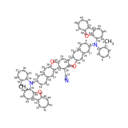 Cc1ccccc1N(c1ccc2cc3c(cc2c1)oc1c(C#N)c2c(cc13)oc1cc3cc(N(c4ccccc4C)c4cccc5c4oc4ccccc45)ccc3cc12)c1cccc2c1oc1ccccc12